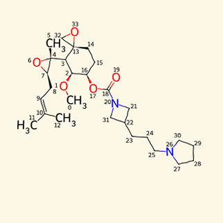 CO[C@H]1C([C@@]2(C)O[C@@H]2CC=C(C)C)[C@]2(CC[C@H]1OC(=O)N1CC(CCCN3CCCC3)C1)CO2